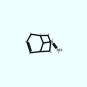 N=NC1C2C=CCC1CCC2